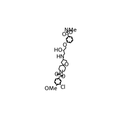 CNS(=O)(=O)c1cccc(OC[C@@H](O)CNC2COC3(CCN(S(=O)(=O)c4ccc(OC)c(Cl)c4)CC3)C2)c1